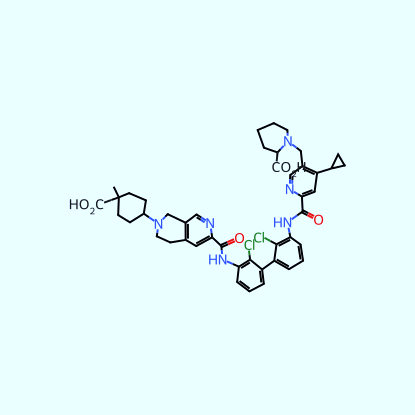 CC1(C(=O)O)CCC(N2CCc3cc(C(=O)Nc4cccc(-c5cccc(NC(=O)c6cc(C7CC7)c(CN7CCCCC7C(=O)O)cn6)c5Cl)c4Cl)ncc3C2)CC1